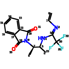 C=C/N=C(\NC(C)[C@@H](C)N1C(=O)c2ccccc2C1=O)C(F)(F)F